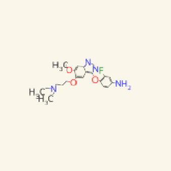 CCN(CC)CCCOc1cc2c(Oc3ccc(N)cc3F)ncnc2cc1OC